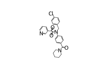 O=C(c1ccc(N(Cc2ccc(Cl)cc2)S(=O)(=O)c2cccnc2)cc1)N1CCCCC1